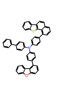 c1ccc(-c2ccc(N(c3ccc(-c4cccc5oc6ccccc6c45)cc3)c3ccc(-c4cccc5ccc6c7ccccc7sc6c45)cc3)cc2)cc1